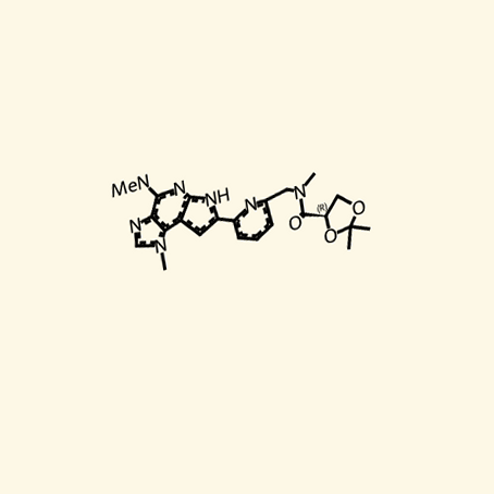 CNc1nc2[nH]c(-c3cccc(CN(C)C(=O)[C@H]4COC(C)(C)O4)n3)cc2c2c1ncn2C